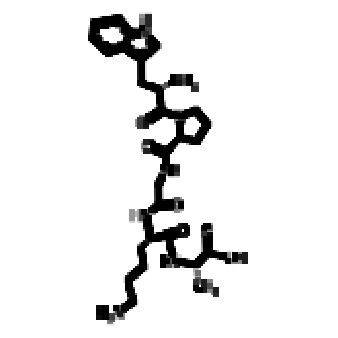 C[C@H](NC(=O)[C@H](CCCCN)NC(=O)CNC(=O)[C@@H]1CCCN1C(=O)[C@@H](N)Cc1c[nH]c2ccccc12)C(=O)O